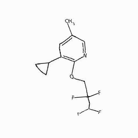 Cc1cnc(OCC(F)(F)C(F)F)c(C2CC2)c1